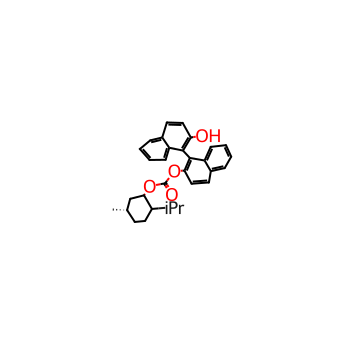 CC(C)C1CC[C@H](C)C[C@@H]1OC(=O)Oc1ccc2ccccc2c1-c1c(O)ccc2ccccc12